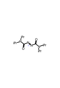 CC(C)N(C(=O)/N=N/C(=O)N(C(C)C)C(C)C)C(C)C